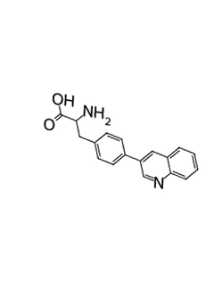 NC(Cc1ccc(-c2cnc3ccccc3c2)cc1)C(=O)O